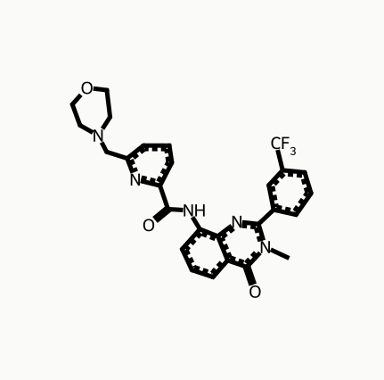 Cn1c(-c2cccc(C(F)(F)F)c2)nc2c(NC(=O)c3cccc(CN4CCOCC4)n3)cccc2c1=O